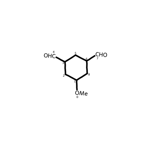 COC1CC(C=O)CC(C=O)C1